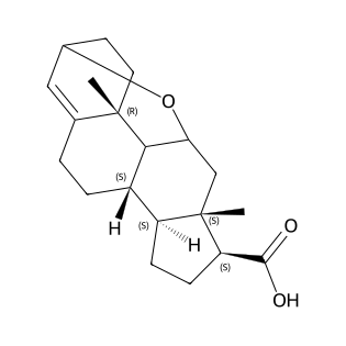 C[C@]12CC3OC4C=C5CC[C@H](C3[C@@]5(C)CC4)[C@@H]1CC[C@@H]2C(=O)O